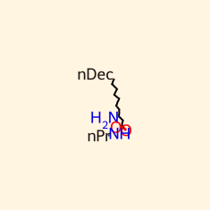 CCCCCCCCCCCCCCCCCC(N)CC(=O)ONCCC